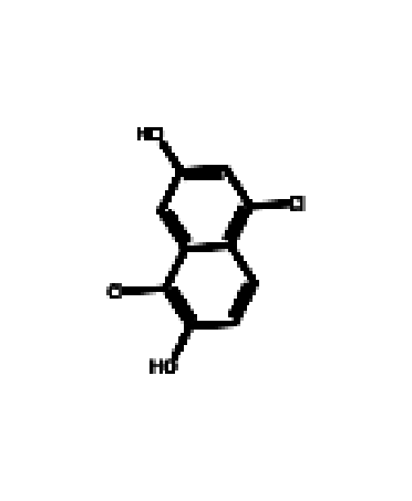 Oc1cc(Cl)c2ccc(O)c(Cl)c2c1